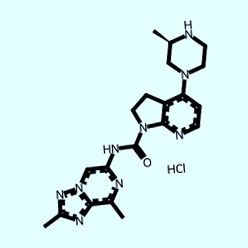 Cc1nc2c(C)nc(NC(=O)N3CCc4c(N5CCN[C@H](C)C5)ccnc43)cn2n1.Cl